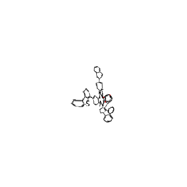 c1ccc(N(c2ccc(-c3ccc4ccccc4c3)cc2)c2cc(-c3cccc4c3sc3ccccc34)ccc2-n2c3ccccc3c3c4oc5ccccc5c4ccc32)cc1